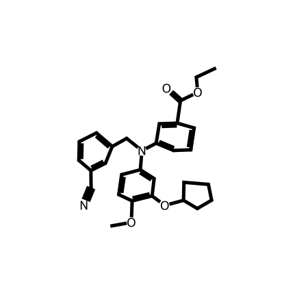 CCOC(=O)c1cccc(N(Cc2cccc(C#N)c2)c2ccc(OC)c(OC3CCCC3)c2)c1